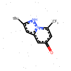 CC(C)(C)c1cc2cc(=O)cc(C(F)(F)F)n2[nH]1